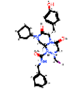 O=C1[C@H](Cc2ccc(O)cc2)N2C(=O)CN(CI)N(C(=O)NCc3ccccc3)[C@H]2CN1C1CCCCC1